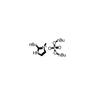 CCCCOP(=O)([O-])OCCCC.CCCCc1[nH]cc[n+]1C